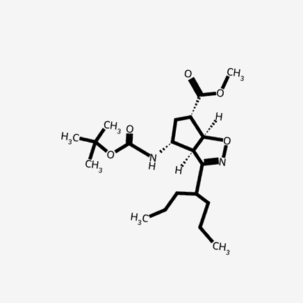 CCCC(CCC)C1=NO[C@H]2[C@@H]1[C@H](NC(=O)OC(C)(C)C)C[C@@H]2C(=O)OC